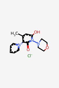 Cc1cc(O)n(N2CCOCC2)c(=O)c1-[n+]1ccccc1.[Cl-]